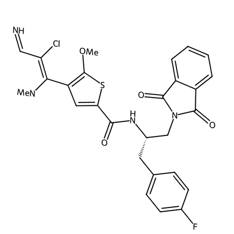 CN/C(=C(/Cl)C=N)c1cc(C(=O)N[C@@H](Cc2ccc(F)cc2)CN2C(=O)c3ccccc3C2=O)sc1OC